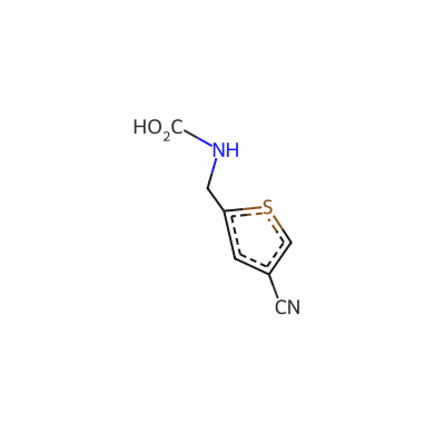 N#Cc1csc(CNC(=O)O)c1